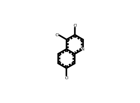 Clc1ccc2c(Cl)c(Cl)cnc2c1